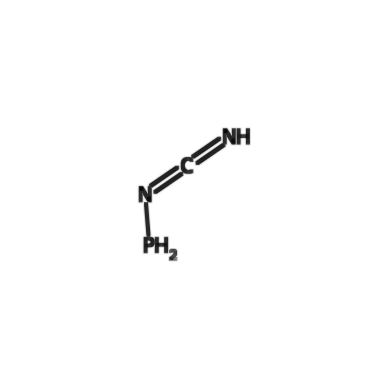 N=C=NP